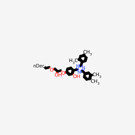 CCCCCCCCCCCCOCC(O)COc1ccc(-c2nc(-c3ccc(C)c(C)c3)nc(-c3ccc(C)cc3C)n2)c(O)c1